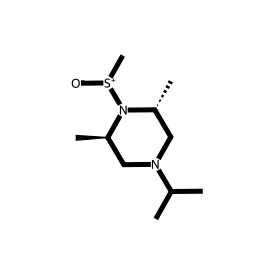 CC(C)N1C[C@@H](C)N([S+](C)[O-])[C@H](C)C1